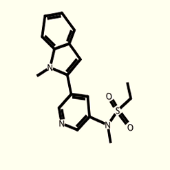 CCS(=O)(=O)N(C)c1cncc(-c2cc3ccccc3n2C)c1